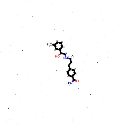 C[C@H](CCc1ccc(C(N)=O)cc1)NC[C@@H](O)c1cccc(C(F)(F)F)c1